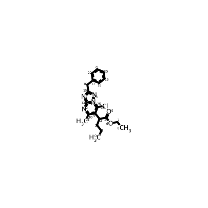 CCCC(C(=O)OCC)c1c(C)nc2nc(Cc3ccccc3)nn2c1Cl